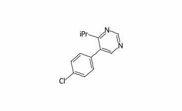 CC(C)c1ncncc1-c1ccc(Cl)cc1